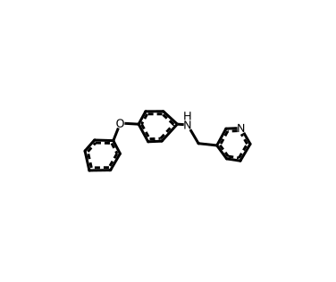 c1ccc(Oc2ccc(NCc3cccnc3)cc2)cc1